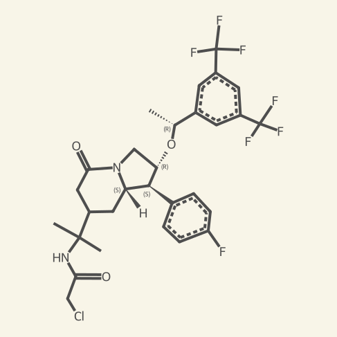 C[C@@H](O[C@H]1CN2C(=O)CC(C(C)(C)NC(=O)CCl)C[C@H]2[C@@H]1c1ccc(F)cc1)c1cc(C(F)(F)F)cc(C(F)(F)F)c1